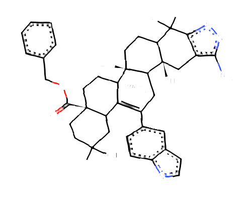 CC1(C)CC[C@]2(C(=O)OCc3ccccc3)CC[C@]3(C)C(=C(c4ccc5[nH]ccc5c4)CC4[C@@]5(C)Cc6c(n[nH]c6N)C(C)(C)C5CC[C@]43C)C2C1